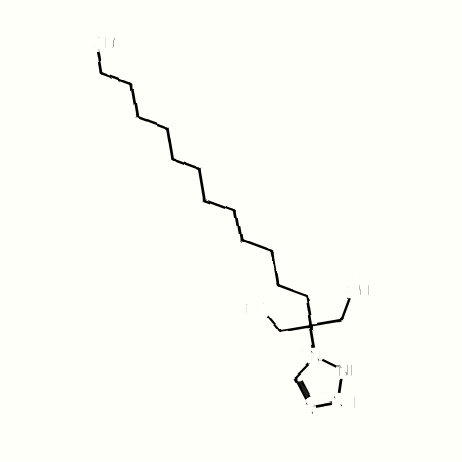 CCCCCCCCCCCCCC(CC)(CC)N1C=NNN1